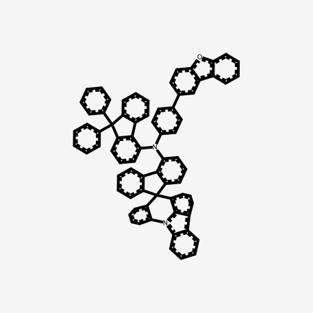 c1ccc(C2(c3ccccc3)c3ccccc3-c3c(N(c4ccc(-c5ccc6oc7ccccc7c6c5)cc4)c4cccc5c4-c4ccccc4C54c5ccccc5-n5c6ccccc6c6cccc4c65)cccc32)cc1